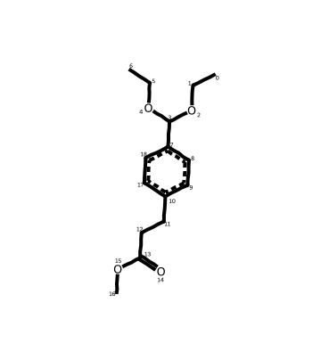 CCOC(OCC)c1ccc(CCC(=O)OC)cc1